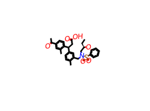 CC[C@@H]1CN(Cc2cc(C(CC(=O)O)c3ccc(C(C)=O)cc3C)ccc2C)S(=O)(=O)c2ccccc2O1